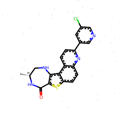 C[C@@H]1CNc2c(sc3ccc4nc(-c5cncc(Cl)c5)ccc4c23)C(=O)N1